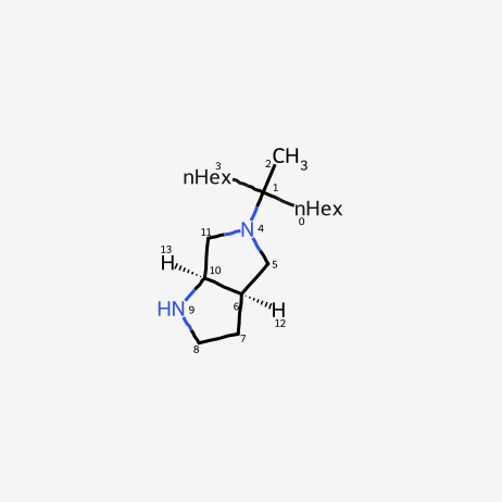 CCCCCCC(C)(CCCCCC)N1C[C@H]2CCN[C@H]2C1